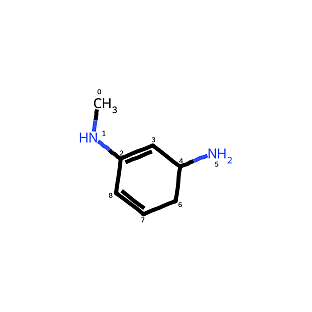 CNC1=CC(N)CC=C1